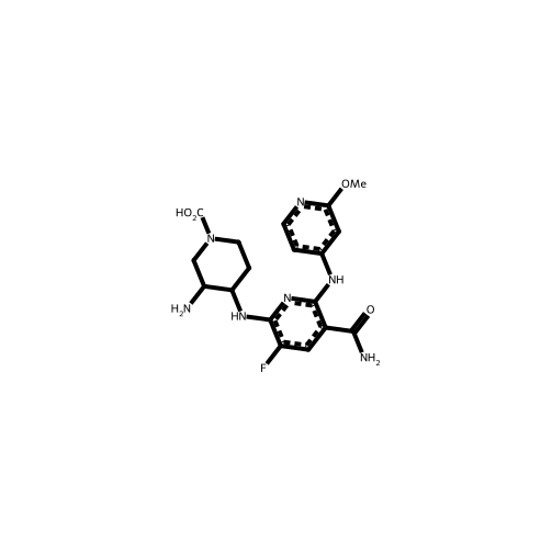 COc1cc(Nc2nc(NC3CCN(C(=O)O)CC3N)c(F)cc2C(N)=O)ccn1